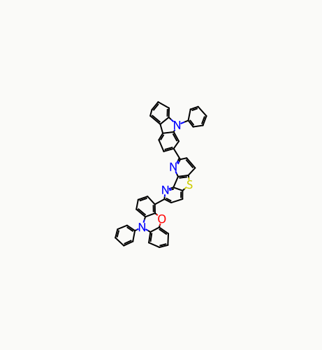 c1ccc(N2c3ccccc3Oc3c(-c4ccc5sc6ccc(-c7ccc8c9ccccc9n(-c9ccccc9)c8c7)nc6c5n4)cccc32)cc1